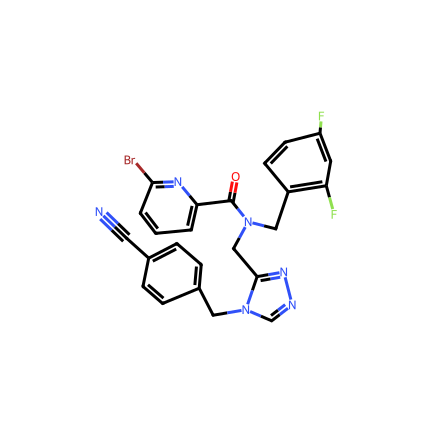 N#Cc1ccc(Cn2cnnc2CN(Cc2ccc(F)cc2F)C(=O)c2cccc(Br)n2)cc1